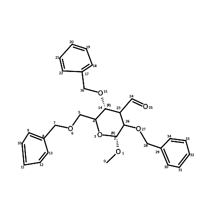 CO[C@@H]1OC(COCc2ccccc2)[C@H](OCc2ccccc2)C(C=O)C1OCc1ccccc1